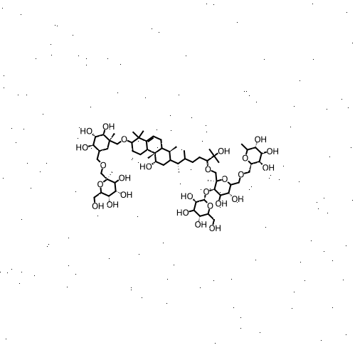 CC(CCC(OC[C@@]1(C)OC(COC[C@H]2OC(C)[C@H](O)C(O)[C@H]2O)[C@H](O)C(O)[C@H]1O[C@H]1OC(CO)[C@H](O)C(O)[C@H]1O)C(C)(C)O)[C@H](C)C1C[C@@H](O)[C@]2(C)C3CCC(OC[C@]4(C)CC(COC[C@]5(C)OC(CO)[C@@H](O)[C@@H](O)C5O)[C@@H](O)[C@@H](O)C4O)C(C)(C)C3=CCC2[C@H]1C